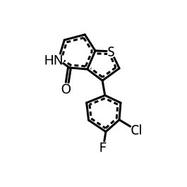 O=c1[nH]ccc2scc(-c3ccc(F)c(Cl)c3)c12